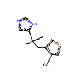 CC(C)(C)c1cscc1CC(C)(C)c1cnc[nH]1